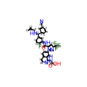 N#Cc1cccc(C(NCC2CC2)c2ccc(F)c(NC(=O)c3cc(C(F)(F)F)nn3-c3ccc4ccnc(NC(=O)O)c4c3)c2)c1